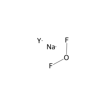 FOF.[Na].[Y]